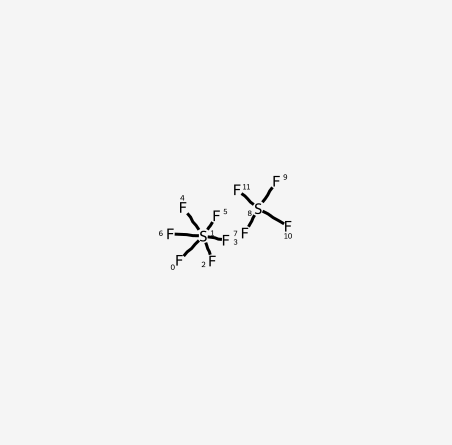 FS(F)(F)(F)(F)F.FS(F)(F)F